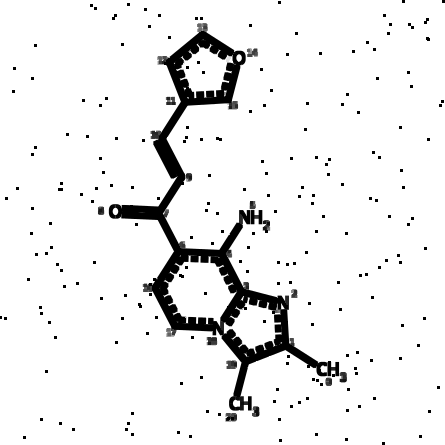 Cc1nc2c(N)c(C(=O)/C=C/c3ccoc3)ccn2c1C